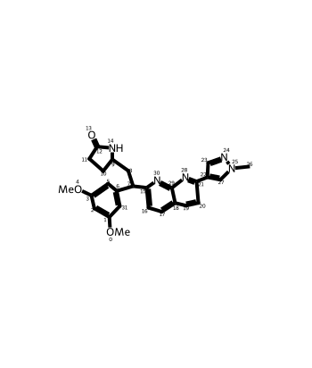 COc1cc(OC)cc(C(CC2CCC(=O)N2)c2ccc3ccc(-c4cnn(C)c4)nc3n2)c1